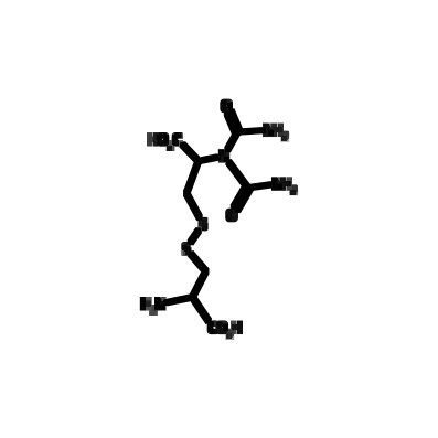 NC(=O)N(C(N)=O)C(CSSCC(N)C(=O)O)C(=O)O